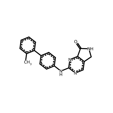 Cc1ccccc1-c1ccc(Nc2ncc3c(n2)C(=O)NC3)cc1